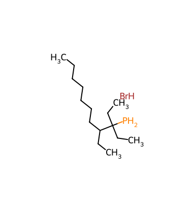 Br.CCCCCCCC(CC)C(P)(CC)CC